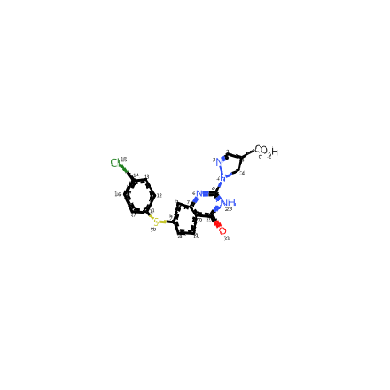 O=C(O)C1C=NN(c2nc3cc(Sc4ccc(Cl)cc4)ccc3c(=O)[nH]2)C1